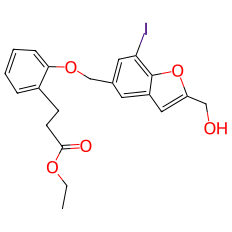 CCOC(=O)CCc1ccccc1OCc1cc(I)c2oc(CO)cc2c1